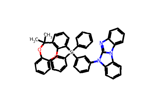 CC1(C)Oc2ccccc2Oc2c1cccc2[Si](c1ccccc1)(c1ccccc1)c1cccc(-n2c3ccccc3n3c4ccccc4nc23)c1